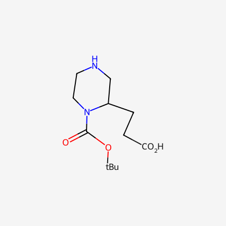 CC(C)(C)OC(=O)N1CCNCC1CCC(=O)O